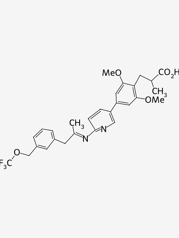 COc1cc(-c2ccc(/N=C(\C)Cc3cccc(COC(F)(F)F)c3)nc2)cc(OC)c1CC(C)C(=O)O